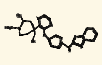 CC(C)(C)C1CC(CO)(c2nccnc2Oc2ccc(Nc3nc4ccccc4s3)cc2)CCN1C(=O)O